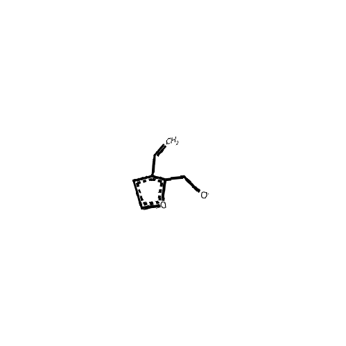 C=Cc1ccoc1C[O]